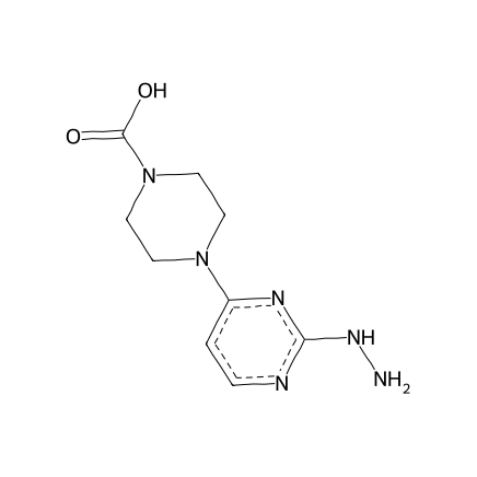 NNc1nccc(N2CCN(C(=O)O)CC2)n1